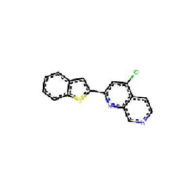 Clc1cc(-c2cc3ccccc3s2)nc2cnccc12